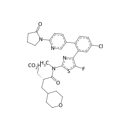 CN(C(=O)[C@@H](CC(=O)O)CC1CCOCC1)c1nc(-c2cc(Cl)ccc2-c2ccc(N3CCCC3=O)nc2)c(F)s1